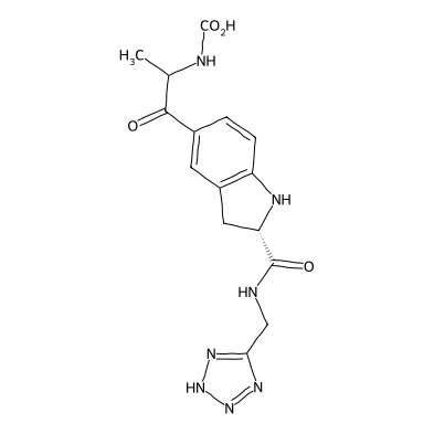 CC(NC(=O)O)C(=O)c1ccc2c(c1)C[C@@H](C(=O)NCc1nn[nH]n1)N2